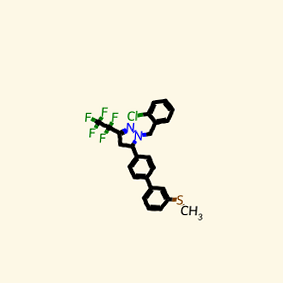 CSc1cccc(-c2ccc(C3CC(C(F)(F)C(F)(F)F)=NN3Cc3ccccc3Cl)cc2)c1